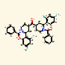 O=C(C1CCN(C(=O)c2ccccc2)C(c2ccc(F)cc2F)C1)C1CCN(C(=O)c2ccccc2)C(c2ccc(F)cc2F)C1